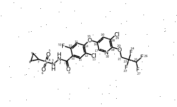 O=C(NNS(=O)(=O)C1CC1)c1cc(Cl)c(Oc2cnc(OCC(F)(F)C(F)F)c(Cl)c2)cc1F